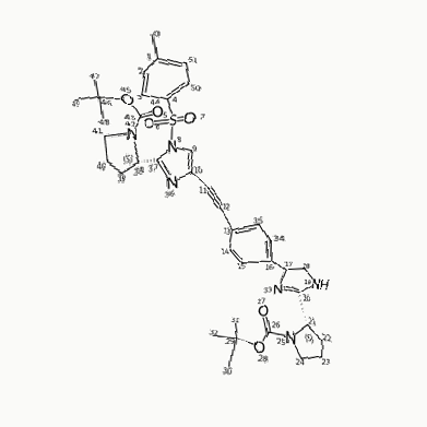 Cc1ccc(S(=O)(=O)n2cc(C#Cc3ccc(C4CNC([C@@H]5CCCN5C(=O)OC(C)(C)C)=N4)cc3)nc2[C@@H]2CCCN2C(=O)OC(C)(C)C)cc1